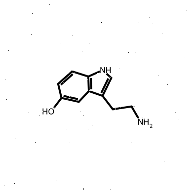 N[CH]Cc1c[nH]c2ccc(O)cc12